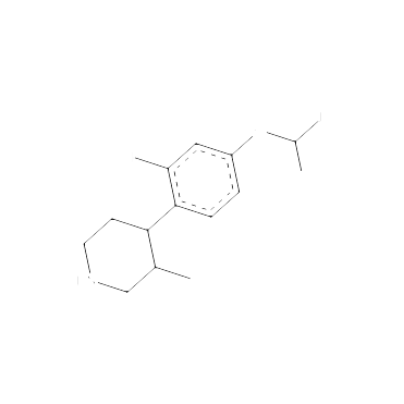 CC1CNCCC1c1ccc(OC(F)F)cc1Cl